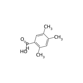 Cc1cc(C)c([PH](=O)O)cc1C